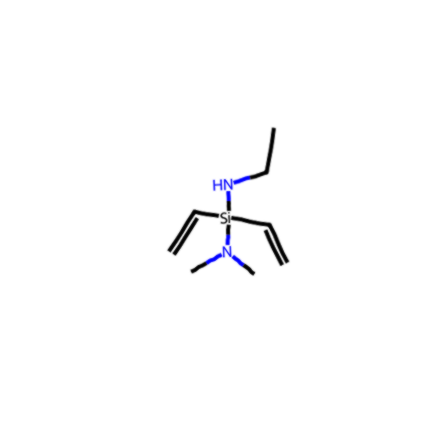 C=C[Si](C=C)(NCC)N(C)C